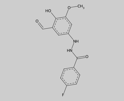 COc1cc(NNC(=O)c2ccc(F)cc2)cc(C=O)c1O